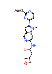 COc1nccc(-c2cc3cnc(NC(=O)CC4COC4)cc3n2C)n1